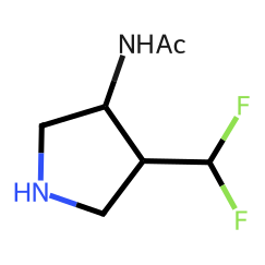 CC(=O)NC1CNCC1C(F)F